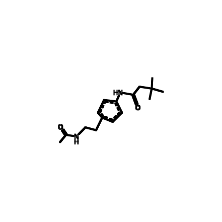 CC(=O)NCCc1ccc(NC(=O)CC(C)(C)C)cc1